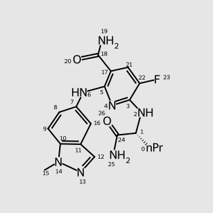 CCC[C@@H](Nc1nc(Nc2ccc3c(cnn3C)c2)c(C(N)=O)cc1F)C(N)=O